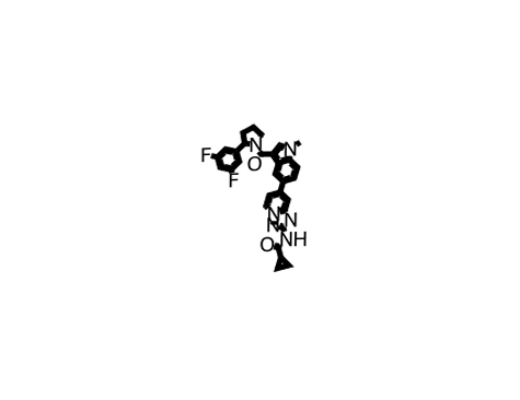 Cn1cc(C(=O)N2CCCC2c2cc(F)cc(F)c2)c2cc(-c3ccn4nc(NC(=O)C5CC5)nc4c3)ccc21